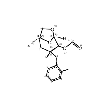 Cc1ccccc1CC1(C)C[C@H]2CO[C@H](O2)C1OC=O